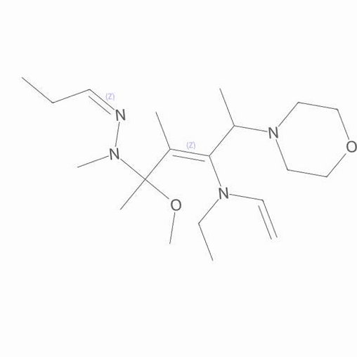 C=CN(CC)/C(=C(/C)C(C)(OC)N(C)/N=C\CC)C(C)N1CCOCC1